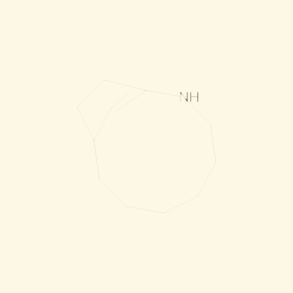 C1=C2CCC1CCCCCCN2